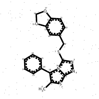 Cc1sc2nnc(SCc3ccc4c(c3)OCO4)n2c1-c1ccccc1